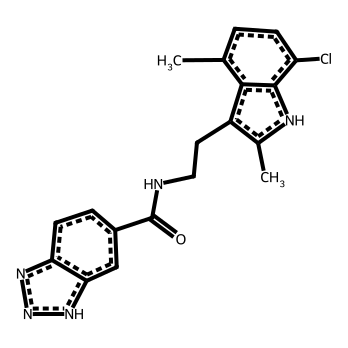 Cc1[nH]c2c(Cl)ccc(C)c2c1CCNC(=O)c1ccc2nn[nH]c2c1